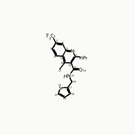 CCCc1nc2cc(C(F)(F)F)ccc2c(C)c1C(=O)NCc1cccs1